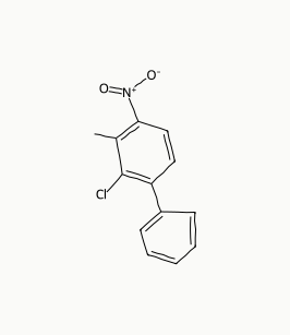 Cc1c([N+](=O)[O-])ccc(-c2ccccc2)c1Cl